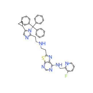 Fc1cccnc1CNc1ncnc2sc(CCNCCc3ncc(C4CC4)n3C(c3ccccc3)(c3ccccc3)c3ccccc3)nc12